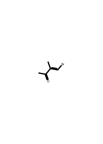 CC(=O)/C(C)=C/Br